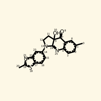 Cc1ccc2c(c1)C(=O)C1(O)CCN(c3ccc4sc(C)nc4c3)C1=N2